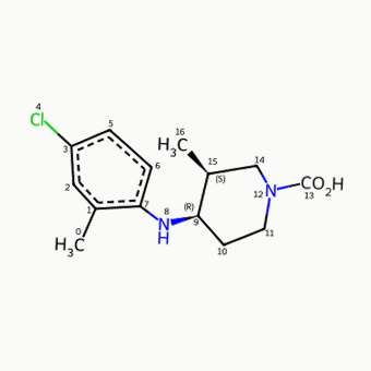 Cc1cc(Cl)ccc1N[C@@H]1CCN(C(=O)O)C[C@@H]1C